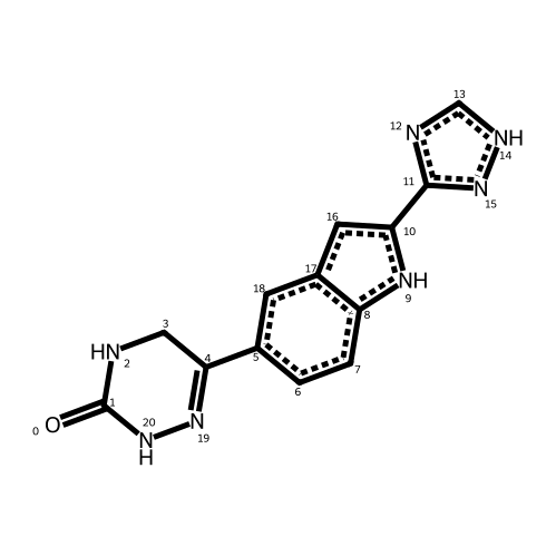 O=C1NCC(c2ccc3[nH]c(-c4nc[nH]n4)cc3c2)=NN1